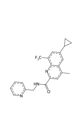 Cc1cc(C(=O)NCc2ccccn2)nc2c(C(F)(F)F)cc(C3CC3)cc12